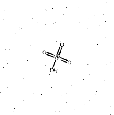 [O]=[W](=[O])(=[O])[OH]